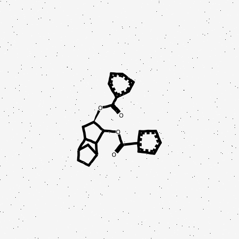 O=C(OC1C2C3CCC(C3)C2C[C@H]1OC(=O)c1ccccc1)c1ccccc1